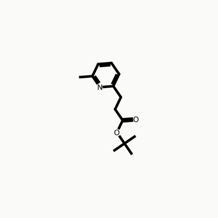 Cc1cccc(CCC(=O)OC(C)(C)C)n1